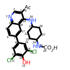 CC(=O)c1cnc2ccc(-c3cc(Cl)c(O)c(Cl)c3)cc2c1NC1CCC(NC(=O)O)CC1